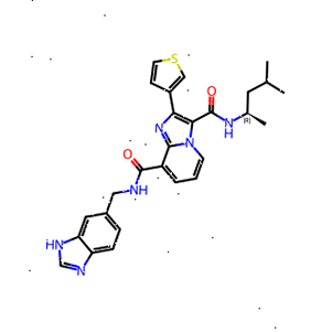 CC(C)C[C@@H](C)NC(=O)c1c(-c2ccsc2)nc2c(C(=O)NCc3ccc4nc[nH]c4c3)cccn12